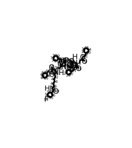 CCCCOP(=O)(N[C@@H](CCC(=O)OCc1ccccc1)C(=O)OCc1ccccc1)OCCC[C@H](NC(=O)CC[C@H](NC(=O)CCCCCNC(=O)c1ccc(F)cc1)C(=O)OCc1ccccc1)C(=O)OCc1ccccc1